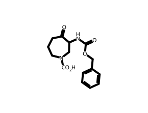 O=C(NC1CN(C(=O)O)CCCC1=O)OCc1ccccc1